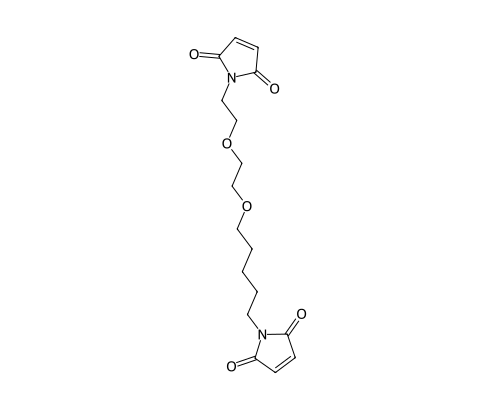 O=C1C=CC(=O)N1CCCCCOCCOCCN1C(=O)C=CC1=O